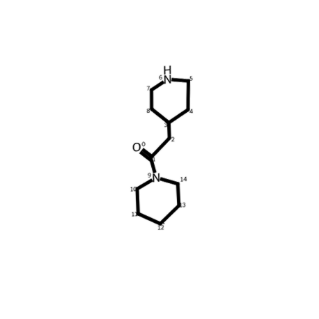 O=C(CC1CCNCC1)N1CC[CH]CC1